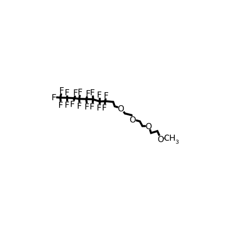 COCCOCCOCCOCCC(F)(F)C(F)(F)C(F)(F)C(F)(F)C(F)(F)C(F)(F)C(F)(F)C(F)(F)F